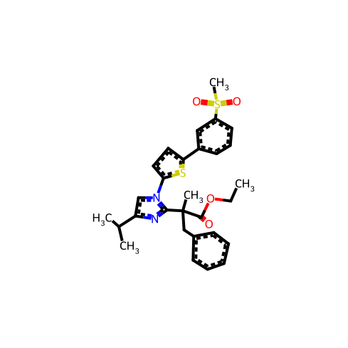 CCOC(=O)C(C)(Cc1ccccc1)c1nc(C(C)C)cn1-c1ccc(-c2cccc(S(C)(=O)=O)c2)s1